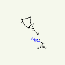 CCC(C)CNCC1C2CCCC21